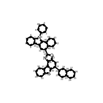 c1ccc(-n2c3ccccc3c3cc(-c4nc5c(cc(-c6ccc7ccccc7c6)c6sc7ccccc7c65)o4)c4ccccc4c32)cc1